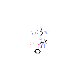 [C-]#[N+]c1c(CC)n[nH]c1/N=N/c1c(C(C)(C)C)nn(-c2ccccc2)c1O